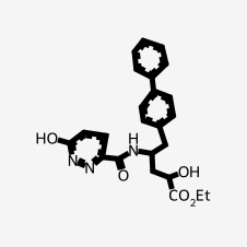 CCOC(=O)C(O)CC(Cc1ccc(-c2ccccc2)cc1)NC(=O)c1ccc(O)nn1